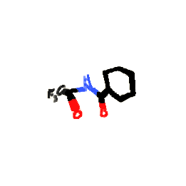 O=C(NC(=O)C(F)(F)F)C1CCCCC1